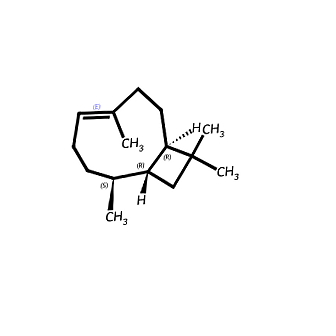 C/C1=C\CC[C@H](C)[C@H]2CC(C)(C)[C@@H]2CC1